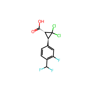 O=C(O)[C@H]1[C@H](c2ccc(C(F)F)c(F)c2)C1(Cl)Cl